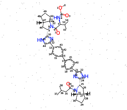 COC(=O)N[C@H](C(=O)N1[C@H](c2nc(-c3ccc(-c4ccc(-c5c[nH]c([C@@H]6C[C@@H]7CCC[C@@H]7N6C(=O)CC(C)C)n5)cc4)cc3)c[nH]2)C[C@@H]2CCC[C@@]21C)C(C)C